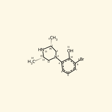 C[C@@H]1CN(c2cccc(Br)c2O)C[C@H](C)N1